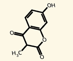 CC1C(=O)Oc2cc(O)ccc2C1=O